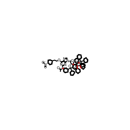 CC(=O)Nc1nc(OCCc2ccc([N+](=O)[O-])cc2)c2ncn([C@@H]3O[C@H](COC(c4ccccc4)(c4ccccc4)c4ccccc4)[C@@H](OC(c4ccccc4)(c4ccccc4)c4ccccc4)[C@H]3OC(c3ccccc3)(c3ccccc3)c3ccccc3)c2n1